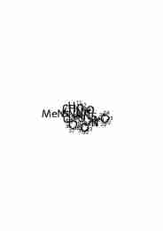 CN[C@@H](C)C(=O)N[C@H](C(=O)N1CCC[C@H]1C(=O)Nc1sc(-c2ccccc2)nc1-c1ccccc1)C1CCCCC1